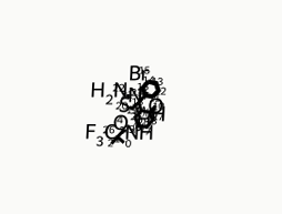 CC(C)(C(=O)N[C@H]1CC[C@@H]2Oc3ccc(Br)cc3C3(CSC(N)=N3)[C@H]2C1)C(F)(F)F